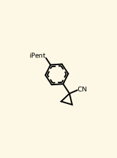 CCCC(C)c1ccc(C2(C#N)CC2)cc1